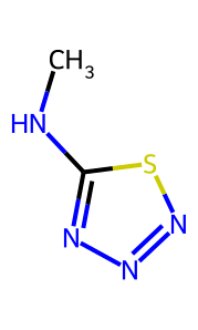 CNc1nnns1